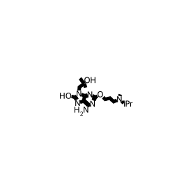 CC(C)N(C)CCCOc1nc(N)c2nc(O)n(CC(C)(C)O)c2n1